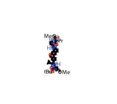 COC[C@H]1C[C@@H](c2nc(C3CC3)c(-c3ccc4c(c3)COc3cc5c(ccc6nc([C@@H]7CC[C@H](C)N7C(=O)[C@@H](NC(=O)OC)C(C)C)[nH]c65)cc3-4)[nH]2)N(C(=O)OC(C)(C)C)C1